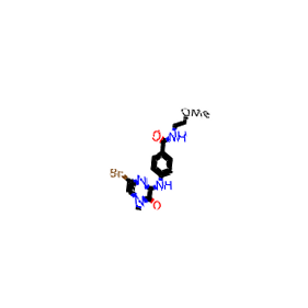 COCCNC(=O)c1ccc(Nc2nc(Br)cn(C)c2=O)cc1